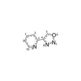 c1ccc(-c2conn2)nc1